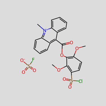 COc1ccc(S(=O)(=O)Cl)c(OC)c1OC(=O)c1c2ccccc2[n+](C)c2ccccc12.O=S(=O)([O-])F